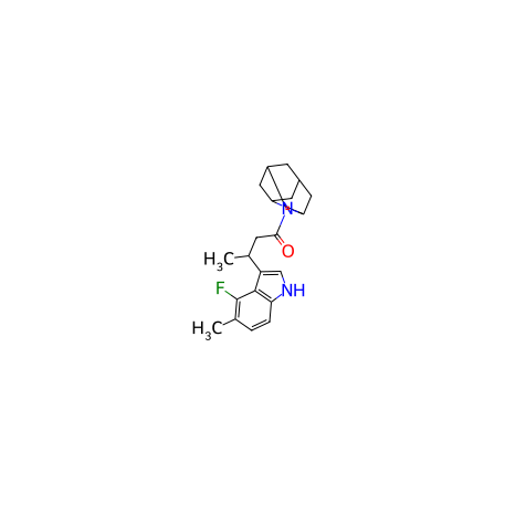 Cc1ccc2[nH]cc(C(C)CC(=O)N3C4CC5CC(C4)CC3C5)c2c1F